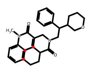 Cn1c(=O)c(CN(CC(c2ccccc2)C2CCCOC2)C(=O)C2CCCCC2)cc2ccccc21